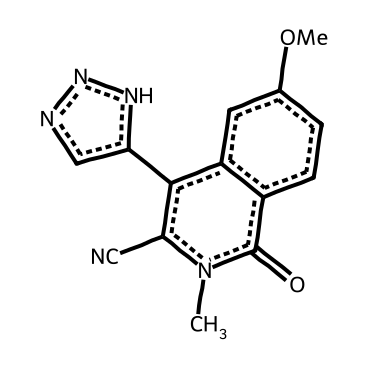 COc1ccc2c(=O)n(C)c(C#N)c(-c3cnn[nH]3)c2c1